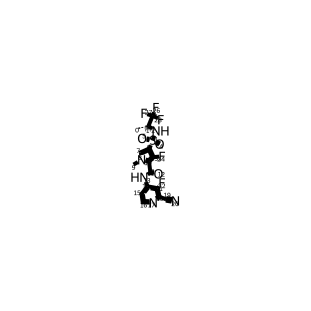 C[C@@H](NS(=O)(=O)c1cn(C)c(C(=O)Nc2ccnc(C#N)c2F)c1F)C(F)(F)F